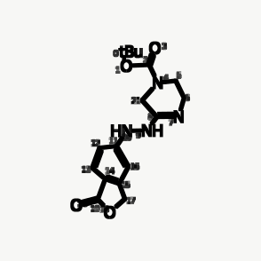 CC(C)(C)OC(=O)N1CCN=C(NNc2ccc3c(c2)COC3=O)C1